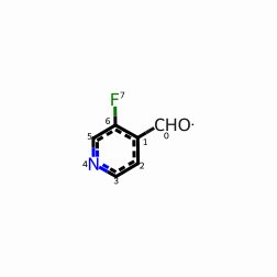 O=[C]c1ccncc1F